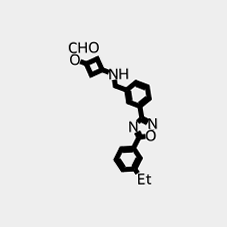 CCc1cccc(-c2nc(-c3cccc(CNC4CC(OC=O)C4)c3)no2)c1